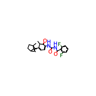 CC1C(=O)C(NC(=O)NC(=O)c2c(F)cccc2F)=CC=C1C1CC2CCC1(C)C2(C)C